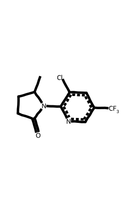 CC1CCC(=O)N1c1ncc(C(F)(F)F)cc1Cl